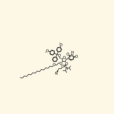 CCCCCCCCCCCCCCCCOCCOC1C(OP(OCCC#N)N(C(C)C)C(C)C)[C@H](n2ccc(=O)[nH]c2=O)O[C@@H]1COC(c1ccccc1)(c1ccc(OC)cc1)c1ccc(OC)cc1